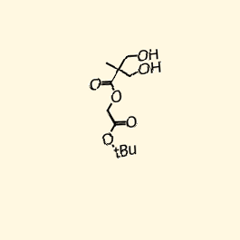 CC(C)(C)OC(=O)COC(=O)C(C)(CO)CO